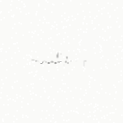 CCOC(=O)C(CC(C)C)SCCCCCCC(F)F